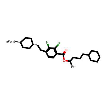 CCCCC[C@H]1CC[C@H](CCc2ccc(C(=O)OC(CC)CCCC3CCCCC3)c(F)c2F)CC1